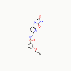 O=C1CN(Cc2ccc(CNS(=O)(=O)c3cccc(OCC4CC4)c3)nc2)C(=O)N1